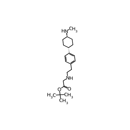 CN[C@H]1CC[C@H](c2ccc(CCNCC(=O)OC(C)(C)C)cc2)CC1